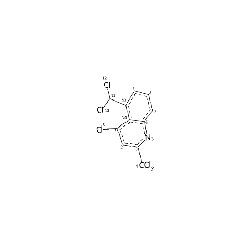 Clc1cc(C(Cl)(Cl)Cl)nc2cccc(C(Cl)Cl)c12